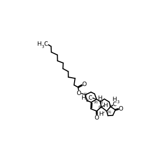 CCCCCCCCCCCC(=O)O[C@H]1CC[C@@]2(C)C(=CC(=O)[C@@H]3[C@@H]2CC[C@]2(C)C(=O)CC[C@@H]32)C1